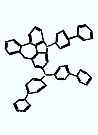 c1ccc(-c2ccc(N(c3ccc(-c4ccccc4)cc3)c3cc4c5c6c(cccc6n(-c6ccc(-c7ccccc7)cc6)c5c3)-c3ccccc3C4)cc2)cc1